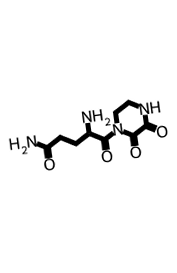 NC(=O)CCC(N)C(=O)N1CCNC(=O)C1=O